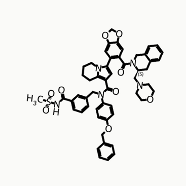 CS(=O)(=O)NC(=O)c1cccc(CN(C(=O)c2cc(-c3cc4c(cc3C(=O)N3Cc5ccccc5C[C@H]3CN3CCOCC3)OCO4)n3c2CCCC3)c2ccc(OCc3ccccc3)cc2)c1